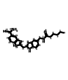 CCCCCC(=O)NCc1ccc2[nH]c(Cc3nc4cc(C(=N)N)ccc4[nH]3)nc2c1